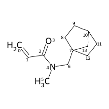 C=CC(=O)N(C)CC12CCC(CC1)C2